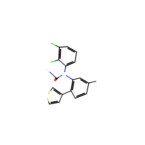 CC(C)(C)c1ccc(-c2ccsc2)c(N(C(N)=O)c2cccc(Cl)c2Cl)c1